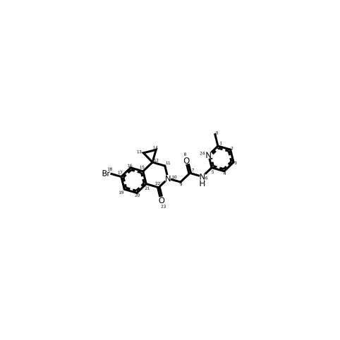 Cc1cccc(NC(=O)CN2CC3(CC3)c3cc(Br)ccc3C2=O)n1